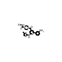 CCNC(=O)N1CCN(C(=O)c2cc(Nc3ncc(C)s3)nc(-c3cccc(N)c3)c2)CC1